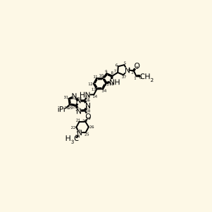 C=CC(=O)N1CCC(c2cc3ccc(CNc4nc(OC5CCN(C)CC5)nc5c(C(C)C)cnn45)cc3[nH]2)C1